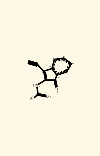 C#CC1=C(NC(=O)C(C)C)C(=O)c2ccccc21